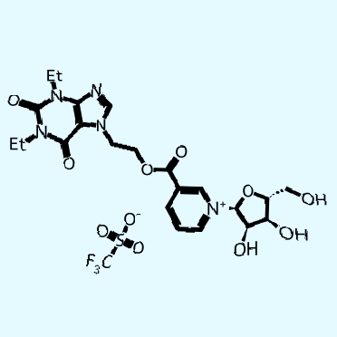 CCn1c(=O)c2c(ncn2CCOC(=O)c2ccc[n+]([C@@H]3O[C@H](CO)[C@@H](O)[C@H]3O)c2)n(CC)c1=O.O=S(=O)([O-])C(F)(F)F